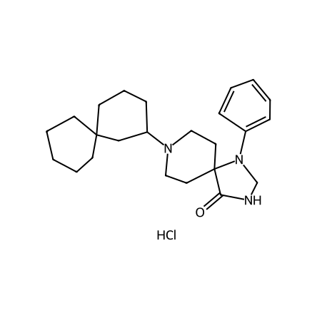 Cl.O=C1NCN(c2ccccc2)C12CCN(C1CCCC3(CCCCC3)C1)CC2